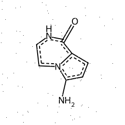 Nc1ccc2c(=O)[nH]ccn12